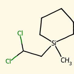 C[Si]1(CC(Cl)Cl)CCCCC1